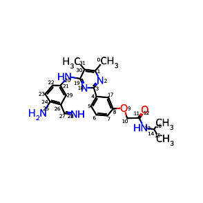 Cc1nc(-c2cccc(OCC(=O)NC(C)C)c2)nc(Nc2ccc(N)c(C=N)c2)c1C